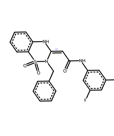 O=C(/C=C1/Nc2ccccc2S(=O)(=O)N1Cc1ccccc1)Nc1cc(F)cc(F)c1